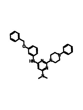 CN(C)c1cc(Nc2cccc(OCc3ccccc3)c2)nc(N2CCN(c3ccccc3)CC2)n1